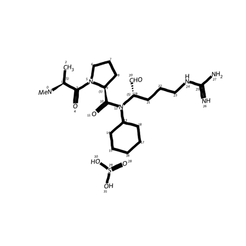 CN[C@@H](C)C(=O)N1CCC[C@H]1C(=O)N(C1CCCCC1)[C@H](C=O)CCCNC(=N)N.O=S(O)O